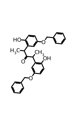 CC(C(=O)C(C)c1cc(OCc2ccccc2)ccc1O)c1cc(OCc2ccccc2)ccc1O